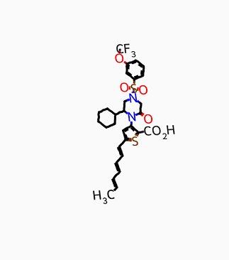 CC=CC=CC=Cc1cc(N2C(=O)CN(S(=O)(=O)c3cccc(OC(F)(F)F)c3)CC2C2CCCCC2)c(C(=O)O)s1